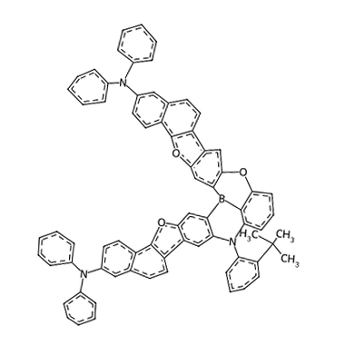 CC(C)(C)c1ccccc1N1c2cc3c(cc2B2c4cc5oc6c7ccc(N(c8ccccc8)c8ccccc8)cc7ccc6c5cc4Oc4cccc1c42)oc1c2ccc(N(c4ccccc4)c4ccccc4)cc2ccc31